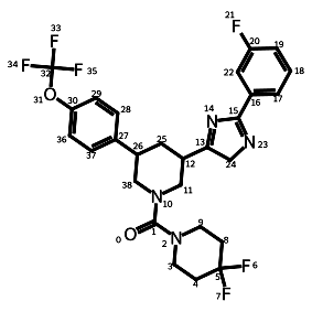 O=C(N1CCC(F)(F)CC1)N1CC(C2=NC(c3cccc(F)c3)=NC2)CC(c2ccc(OC(F)(F)F)cc2)C1